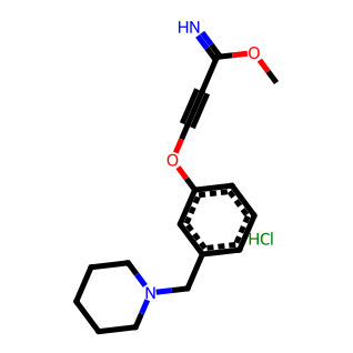 COC(=N)C#COc1cccc(CN2CCCCC2)c1.Cl